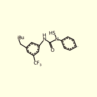 CCC(C)Cc1cc(NC(=O)N(S)c2cc[c]cc2)cc(C(F)(F)F)c1